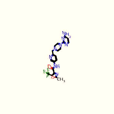 Cc1nc(C(=O)Nc2ccc(CN3CCN(c4nccc(N)n4)CC3)nc2)c(C(F)(F)F)o1